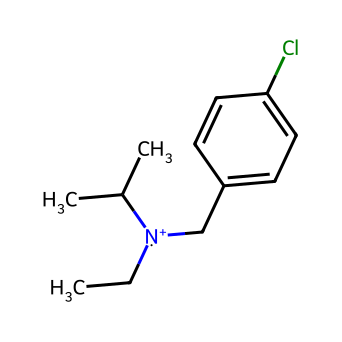 CC[N+](Cc1ccc(Cl)cc1)C(C)C